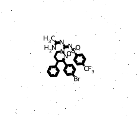 C/C(N)=N/C(=N/S(=O)(=O)c1ccc(C(F)(F)F)cc1)N1CCC(c2ccccc2)C(c2ccc(Br)cc2)=N1